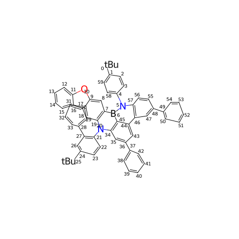 CC(C)(C)c1ccc(N2B3c4cc5oc6ccccc6c5cc4N(c4ccc(C(C)(C)C)cc4-c4ccccc4)c4cc(-c5ccccc5)cc(c43)-c3cc(-c4ccccc4)ccc32)cc1